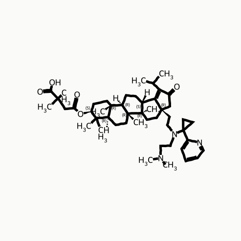 CC(C)C1=C2[C@H]3CC[C@@H]4[C@@]5(C)CC[C@H](OC(=O)CC(C)(C)C(=O)O)C(C)(C)[C@@H]5CC[C@@]4(C)[C@]3(C)CC[C@@]2(CCN(CCN(C)C)C2(c3ccccn3)CC2)CC1=O